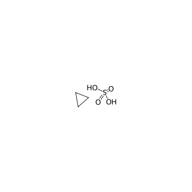 C1CC1.O=S(=O)(O)O